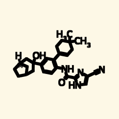 CC1(C)CC=C(c2cc(C3(O)CC4CC[C@@H](C4)C3)ccc2NC(=O)c2nc(C#N)c[nH]2)CC1